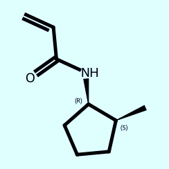 C=CC(=O)N[C@@H]1CCC[C@@H]1C